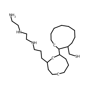 NCCNCCNCCCC1CCCCCCC(C2CCCCCCCCCC2CS)C1